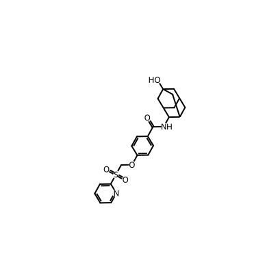 O=C(NC1C2CC3CC1CC(O)(C3)C2)c1ccc(OCS(=O)(=O)c2ccccn2)cc1